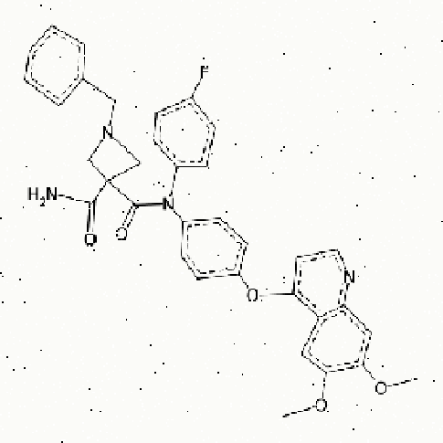 COc1cc2nccc(Oc3ccc(N(C(=O)C4(C(N)=O)CN(Cc5ccccc5)C4)c4ccc(F)cc4)cc3)c2cc1OC